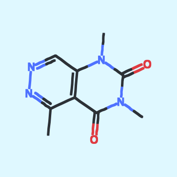 Cc1nncc2c1c(=O)n(C)c(=O)n2C